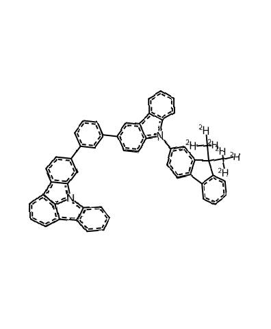 [2H]C([2H])([2H])C1(C([2H])([2H])[2H])c2ccccc2-c2ccc(-n3c4ccccc4c4cc(-c5cccc(-c6ccc7c8cccc9c%10ccccc%10n(c7c6)c98)c5)ccc43)cc21